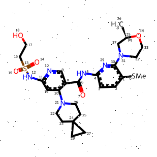 CSc1ccc(NC(=O)c2cnc(NS(=O)(=O)CCO)cc2N2CCC3(CC2)CC3)nc1N1CCO[C@H](C)C1